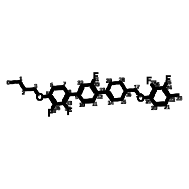 CCCCOc1ccc(-c2ccc(C3=CCC(COc4ccc(C)c(F)c4F)CC3)c(F)c2)c(F)c1F